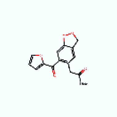 COC(=O)Cc1cc2c(cc1C(=O)c1ccco1)OOC2